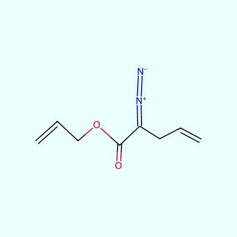 C=CCOC(=O)C(CC=C)=[N+]=[N-]